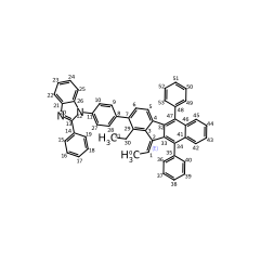 C/C=C1\c2c(ccc(-c3ccc(-n4c(-c5ccccc5)nc5ccccc54)cc3)c2CC)-c2c1c(-c1ccccc1)c1ccccc1c2-c1ccccc1